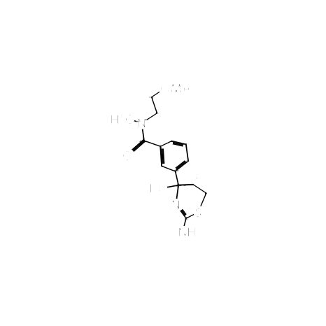 COCCN(C)C(=O)c1cccc(C2(C)CCSC(N)=N2)c1